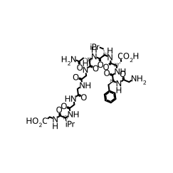 CC(C)C[C@H](NC(=O)[C@H](CC(=O)O)NC(=O)[C@H](Cc1ccccc1)NC(=O)CN)C(=O)N[C@@H](CC(N)=O)C(=O)NCC(=O)NCC(=O)NCC(=O)N[C@H](C(=O)NCC(=O)O)C(C)C